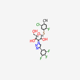 N#Cc1cc(F)c(S[C@H]2O[C@H](CO)[C@H](O)[C@H](n3cc(-c4cc(F)c(F)c(F)c4)nn3)[C@H]2O)cc1Cl